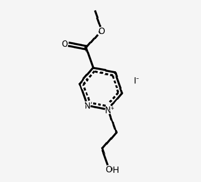 COC(=O)c1cc[n+](CCO)nc1.[I-]